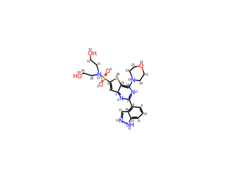 O=S(=O)(c1cc2nc(-c3cccc4[nH]ncc34)nc(N3CCOCC3)c2s1)N(CCO)CCO